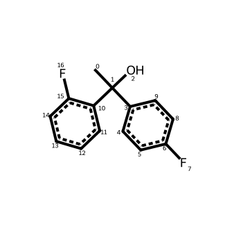 CC(O)(c1ccc(F)cc1)c1ccccc1F